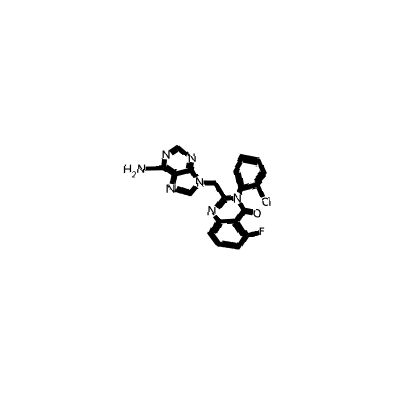 Nc1ncnc2c1ncn2Cc1nc2cccc(F)c2c(=O)n1-c1ccccc1Cl